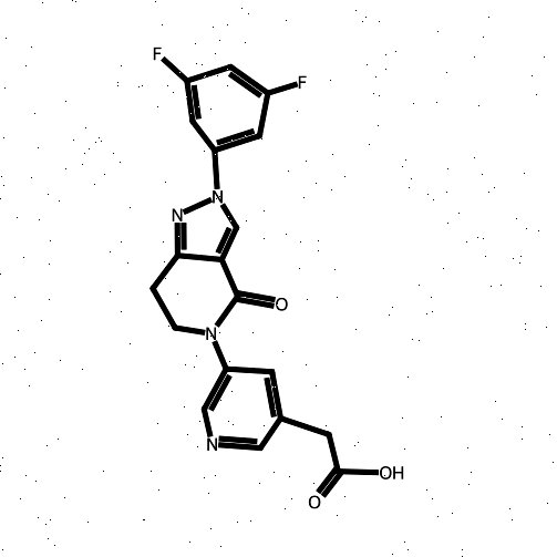 O=C(O)Cc1cncc(N2CCc3nn(-c4cc(F)cc(F)c4)cc3C2=O)c1